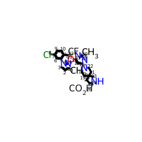 Cc1ccn(-c2cc(Cl)ccc2C(Oc2cc(N3CCC4(CC3)CN[C@H](C(=O)O)C4)nc(C)n2)C(F)(F)F)n1